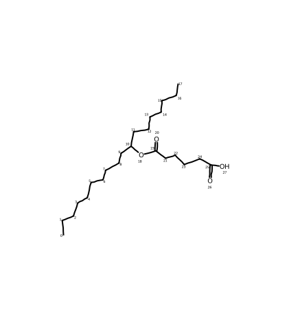 CCCCCCCCCCC(CCCCCCC)OC(=O)CCCCC(=O)O